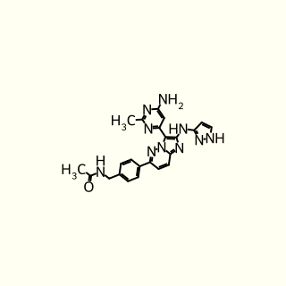 CC(=O)NCc1ccc(-c2ccc3nc(Nc4cc[nH]n4)c(-c4cc(N)nc(C)n4)n3n2)cc1